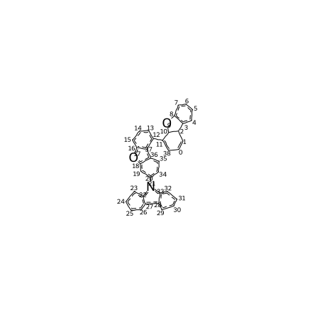 C1=CC2c3ccccc3OC2C(c2cccc3oc4cc(-n5c6ccccc6c6ccccc65)ccc4c23)=C1